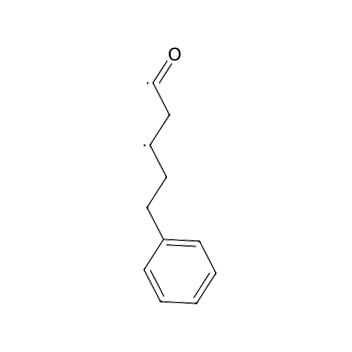 O=[C]C[CH]CCc1ccccc1